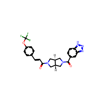 O=C(/C=C/c1ccc(OC(F)(F)F)cc1)N1C[C@H]2CN(C(=O)c3ccc4[nH]nnc4c3)C[C@@H]2C1